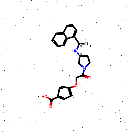 C[C@@H](N[C@H]1CCN(C(=O)COc2ccc(C(=O)O)cc2)C1)c1cccc2ccccc12